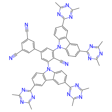 Cc1nc(C)nc(-c2ccc3c(c2)c2cc(-c4nc(C)nc(C)n4)ccc2n3-c2cc(-c3cc(C#N)cc(C#N)c3)cc(-n3c4ccc(-c5nc(C)nc(C)n5)cc4c4cc(-c5nc(C)nc(C)n5)ccc43)c2C#N)n1